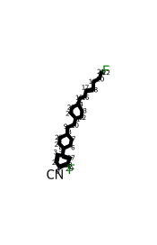 N#Cc1ccc(C2CCC(CCC3CCC(CC/C=C/CCCF)CC3)CC2)cc1F